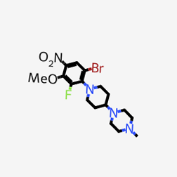 COc1c([N+](=O)[O-])cc(Br)c(N2CCC(N3CCN(C)CC3)CC2)c1F